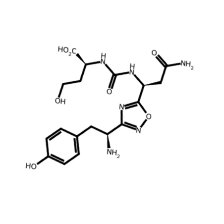 NC(=O)C[C@H](NC(=O)N[C@@H](CCO)C(=O)O)c1nc([C@@H](N)Cc2ccc(O)cc2)no1